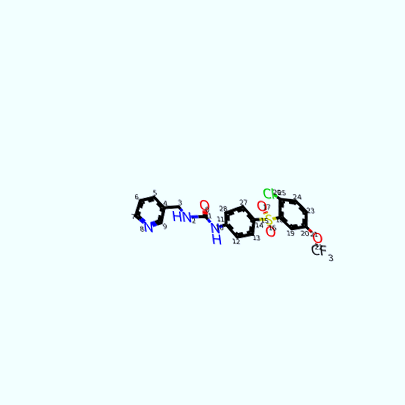 O=C(NCc1cccnc1)Nc1ccc(S(=O)(=O)c2cc(OC(F)(F)F)ccc2Cl)cc1